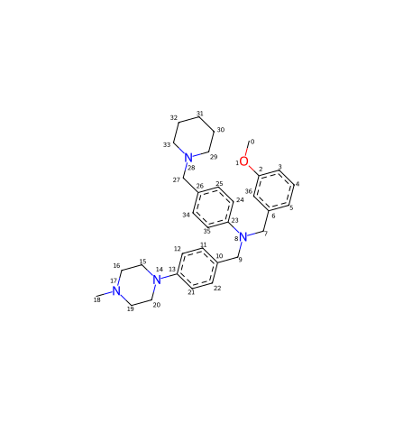 COc1cccc(CN(Cc2ccc(N3CCN(C)CC3)cc2)c2ccc(CN3CCCCC3)cc2)c1